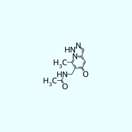 CC(=O)NCc1c(C)n2[nH]ncc2cc1=O